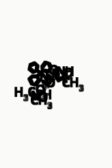 Cc1cn([C@H]2CN(C(c3ccccc3)(c3ccccc3)c3ccccc3)C[C@@H](CO[PH](=O)N(C)C)O2)c(=O)[nH]c1=O